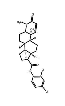 CN1C(=O)C=C[C@@]2(C)C1CC[C@@H]1[C@H]2CC[C@]2(C)C(C(=O)Nc3ccc(Cl)cc3Cl)CC[C@@H]12